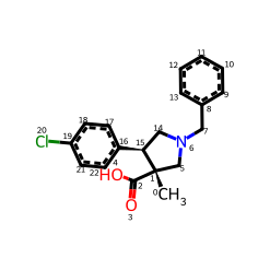 C[C@]1(C(=O)O)CN(Cc2ccccc2)C[C@@H]1c1ccc(Cl)cc1